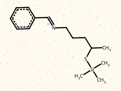 CC(CCC/N=C/c1ccccc1)S[Si](C)(C)C